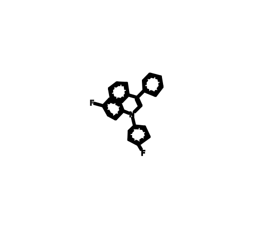 Fc1ccc(N(C=C(c2ccccc2)c2ccccc2)c2ccc(F)cc2)cc1